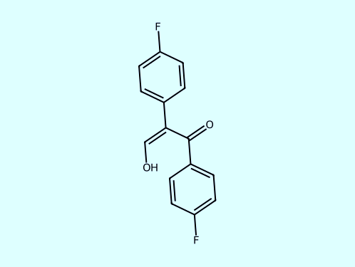 O=C(C(=CO)c1ccc(F)cc1)c1ccc(F)cc1